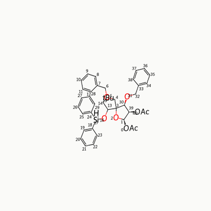 CC(=O)O[C@H]1OC(COCc2ccccc2)(C(CC(C)(C)C)O[SiH](c2ccccc2)c2ccccc2)[C@@H](OCc2ccccc2)[C@H]1OC(C)=O